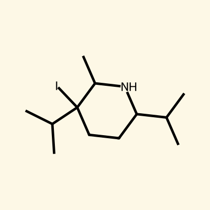 CC(C)C1CCC(I)(C(C)C)C(C)N1